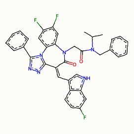 CC(C)N(Cc1ccccc1)C(=O)CN1C(=O)C(=Cc2c[nH]c3cc(F)ccc23)c2nnc(-c3ccccc3)n2-c2cc(F)c(F)cc21